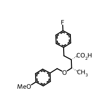 COc1ccc(CO[C@@H](C)[C@H](Cc2ccc(F)cc2)C(=O)O)cc1